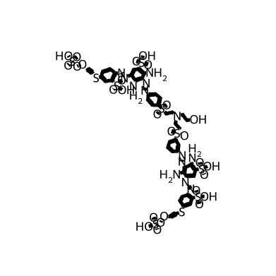 Nc1c(N=Nc2ccc(SC#COOS(=O)(=O)O)cc2S(=O)(=O)O)cc(S(=O)(=O)O)c(N)c1N=Nc1ccc(S(=O)(=O)CCN(CCO)CCS(=O)(=O)c2cccc(N=Nc3c(N)c(N=Nc4ccc(SC#COOS(=O)(=O)O)cc4S(=O)(=O)O)cc(S(=O)(=O)O)c3N)c2)cc1